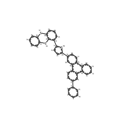 c1ccc(-c2ccc3c(c2)c2ccccc2c2ccc(-c4ccc(-c5cccc6c5Sc5ccccc5S6)s4)cc23)cc1